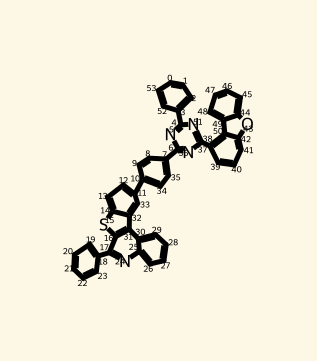 c1ccc(-c2nc(-c3ccc(-c4ccc5sc6c(-c7ccccc7)nc7ccccc7c6c5c4)cc3)nc(-c3cccc4oc5ccccc5c34)n2)cc1